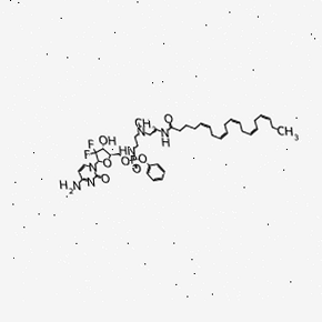 CC/C=C\C/C=C\C/C=C\C/C=C\C/C=C\CCCC(=O)NCCN(C)CCNP(=O)(OC[C@H]1O[C@@H](n2ccc(N)nc2=O)C(F)(F)[C@@H]1O)Oc1ccccc1